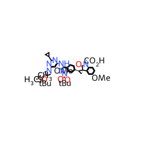 COc1ccc2c(c1)[C@]1(C[C@H]1c1ccc3c(Nc4nc(C5CC5)nc(N5CC(O[Si](C)(C)C(C)(C)C)C5)c4OC)nn(C(=O)OC(C)(C)C)c3c1)C(=O)N2C(=O)O